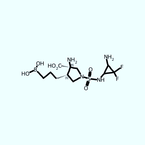 NC1C(NS(=O)(=O)N2C[C@H](CCCB(O)O)[C@](N)(C(=O)O)C2)C1(F)F